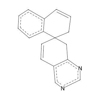 C1=Cc2ccccc2C2(C=Cc3cncnc3C2)C1